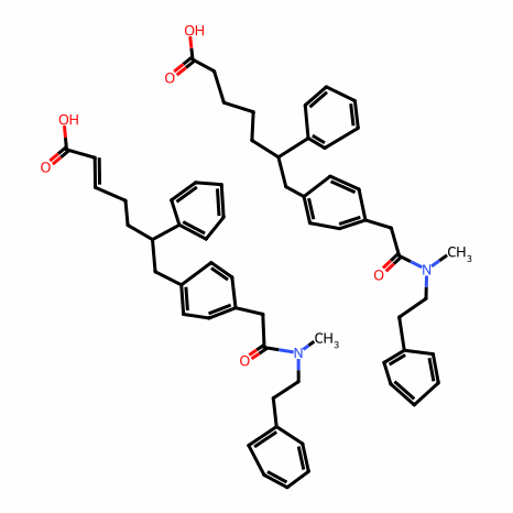 CN(CCc1ccccc1)C(=O)Cc1ccc(CC(CCC=CC(=O)O)c2ccccc2)cc1.CN(CCc1ccccc1)C(=O)Cc1ccc(CC(CCCCC(=O)O)c2ccccc2)cc1